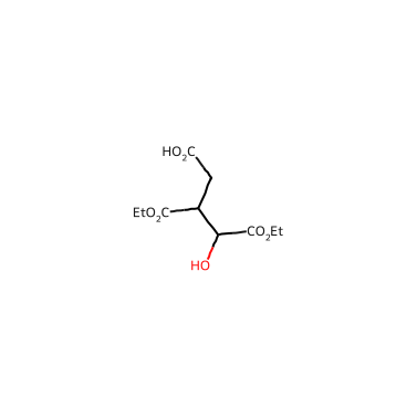 CCOC(=O)C(O)C(CC(=O)O)C(=O)OCC